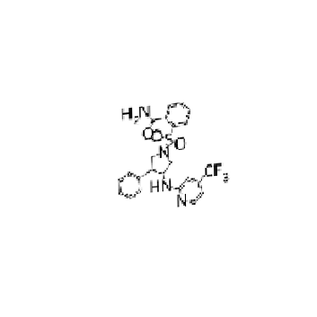 NC(=O)c1ccccc1S(=O)(=O)N1CC(Nc2cc(C(F)(F)F)ccn2)C(c2ccccc2)C1